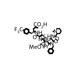 CCC(C)C(NC(=O)C1CCCCN1C)C(=O)N(Cc1ccccc1)[C@H](C[C@@H](OCOC)c1nc(C(=O)N[C@@H](Cc2ccc(C(F)(F)F)cc2)C[C@H](C)C(=O)O)cs1)C(C)C